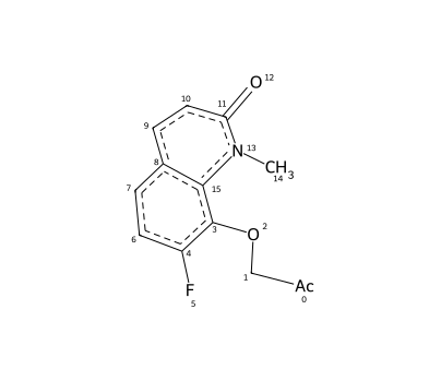 CC(=O)COc1c(F)ccc2ccc(=O)n(C)c12